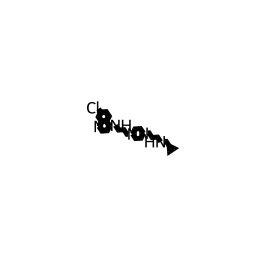 Clc1ccc2c(NCCCN3CCN(CCCNCC4CC4)CC3)ccnc2c1